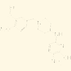 CCOc1cc(CN2CCC(Nc3ccc([N+](=O)[O-])c(C)n3)CC2)ccc1OC